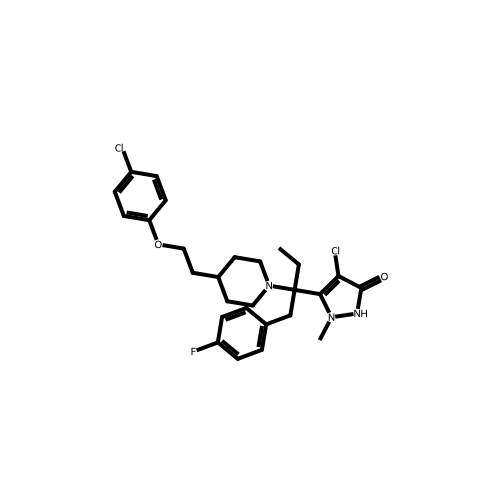 CCC(Cc1ccc(F)cc1)(c1c(Cl)c(=O)[nH]n1C)N1CCC(CCOc2ccc(Cl)cc2)CC1